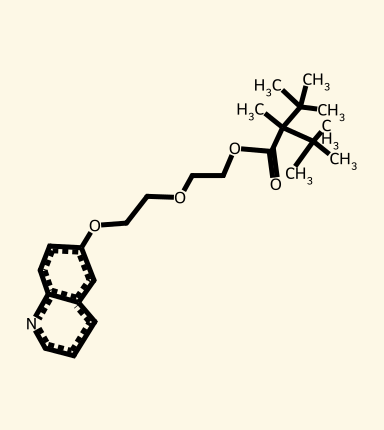 CC(C)(C)C(C)(C(=O)OCCOCCOc1ccc2ncccc2c1)C(C)(C)C